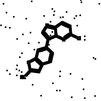 N#Cc1cc2ccc(-c3cnc4ccc(Cl)nn34)cc2o1